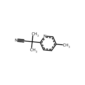 Cc1ccc(C(C)(C)C#N)nc1